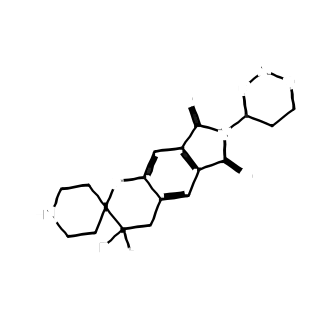 O=C1c2cc3c(cc2C(=O)N1C1CCONO1)OC1(CCNCC1)C(F)(F)C3